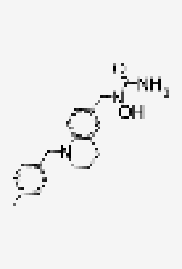 Cc1ccc(CN2CCCc3cc(CN(O)C(N)=O)ccc32)cc1